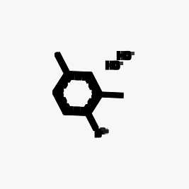 [B+2]c1ccc(C)cc1C.[OH-].[OH-]